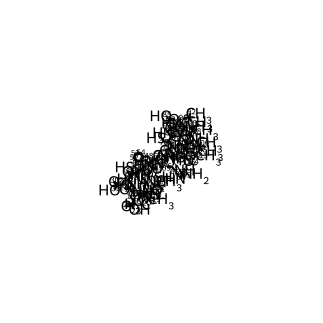 CC[C@H](C)[C@H](NC(=O)CN)C(=O)N[C@H](C(=O)N[C@@H](CCC(=O)O)C(=O)N[C@@H](CCC(=O)O)C(=O)N[C@@H](CS)C(=O)N[C@@H](CS)C(=O)N[C@@H](Cc1ccccc1)C(=O)N[C@@H](CCCNC(=N)N)C(=O)N[C@@H](CO)C(=O)N[C@@H](CS)C(=O)N[C@@H](CC(=O)O)C(=O)N[C@@H](CC(C)C)C(=O)N[C@@H](C)C(=O)N[C@@H](CC(C)C)C(=O)N[C@@H](CC(C)C)C(=O)O)C(C)C